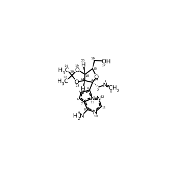 C=NC[C@@]1(c2ccc3c(N)ncnn23)O[C@H](CO)[C@H]2OC(C)(C)O[C@H]21